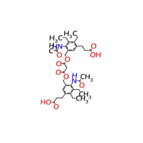 CCc1c(CCC(=O)O)cc(COC(=O)CC(=O)OCc2cc(CCC(=O)O)c(CC)c(CC)c2NC(C)=O)c(NC(C)=O)c1CC